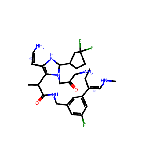 CC/C(=C\NC)c1cc(F)cc(CNC(=O)C(C)C2=C(/C=C\N)NC(C3CCC(F)(F)C3)N2CC(=O)CN)c1